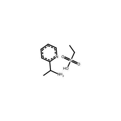 CC(N)c1ccccn1.CCS(=O)(=O)O